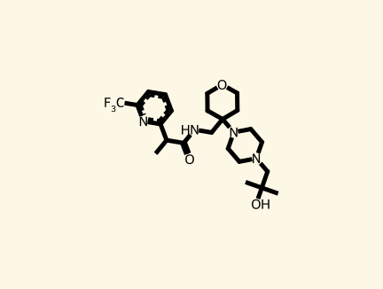 CC(C(=O)NCC1(N2CCN(CC(C)(C)O)CC2)CCOCC1)c1cccc(C(F)(F)F)n1